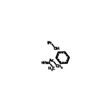 CC(C)=O.CC(C)O.CCCCCCC.c1ccccc1